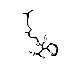 CC(C)=CCCC(C)=CCOC(=O)C(C(N)=S)c1ccccn1